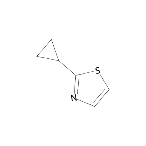 c1csc(C2CC2)n1